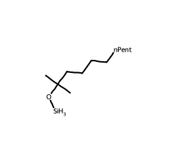 CCCCCCCCCC(C)(C)O[SiH3]